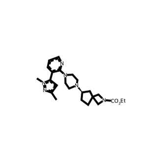 CCOC(=O)N1CC2(CC[C@@H](N3CCN(c4ncccc4-c4cc(C)nn4C)CC3)C2)C1